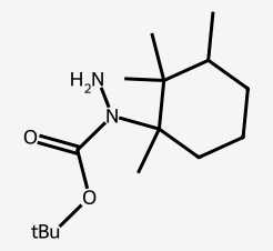 CC1CCCC(C)(N(N)C(=O)OC(C)(C)C)C1(C)C